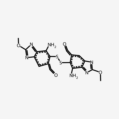 COC1=Nc2cc(=C=O)c(SSc3c(N)c4c(cc3=C=O)N=C(OC)N=4)c(N)c2=N1